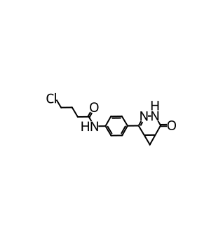 O=C(CCCCl)Nc1ccc(C2=NNC(=O)C3CC23)cc1